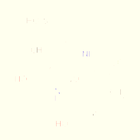 C=C(Cl)C(=O)NCCS(=O)(=O)O.CC(O)CNCC(C)O